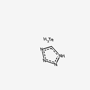 [TeH2].c1nnn[nH]1